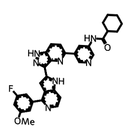 COc1cc(F)cc(-c2nccc3[nH]c(-c4n[nH]c5ccc(-c6cncc(NC(=O)C7CCCCC7)c6)nc45)cc23)c1